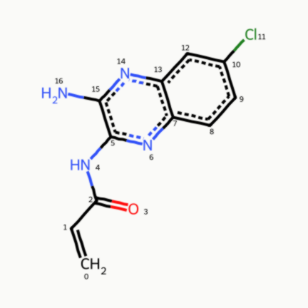 C=CC(=O)Nc1nc2ccc(Cl)cc2nc1N